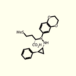 CSCC[C@@H](C(=O)O)N(N[C@@H]1C[C@H]1c1ccccc1)c1ccc2c(c1)OCCO2